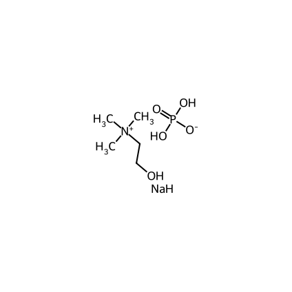 C[N+](C)(C)CCO.O=P([O-])(O)O.[NaH]